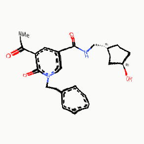 CNC(=O)c1cc(C(=O)NC[C@@H]2CC[C@@H](O)C2)cn(Cc2ccccc2)c1=O